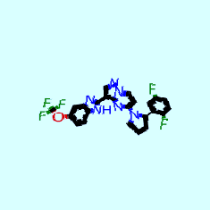 Fc1ccc(F)c([C@H]2CCCN2c2ccn3ncc(-c4nc5cc(OC(F)(F)F)ccc5[nH]4)c3n2)c1